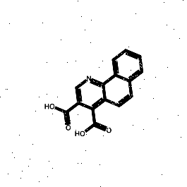 O=C(O)c1cnc2c(ccc3ccccc32)c1C(=O)O